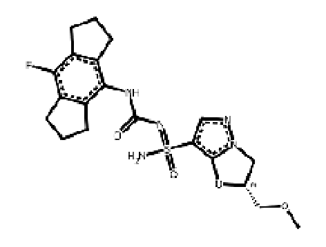 COC[C@H]1Cn2ncc(S(N)(=O)=NC(=O)Nc3c4c(c(F)c5c3CCC5)CCC4)c2O1